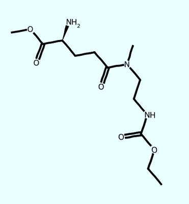 CCOC(=O)NCCN(C)C(=O)CC[C@H](N)C(=O)OC